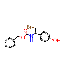 O=C(N[C@@H](CBr)c1ccc(O)cc1)OCc1ccccc1